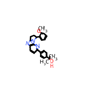 COc1ccccc1C1CCc2nc3ccc(-c4ccc(C(C)(C)O)cc4)nc3n21